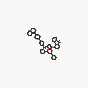 CC1(C)c2ccccc2-c2c(-c3ccc(N(c4ccc(-c5ccc(-c6cccc7ccccc67)cc5)cc4)c4ccccc4-c4cccc(-c5ccccc5)c4)cc3)cccc21